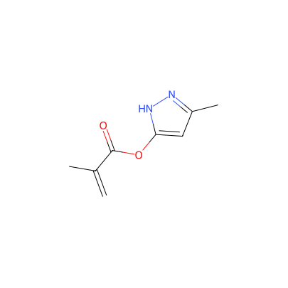 C=C(C)C(=O)Oc1cc(C)n[nH]1